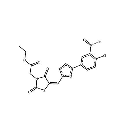 CCOC(=O)CN1C(=O)SC(=Cc2ccc(-c3ccc(Cl)c([N+](=O)[O-])c3)o2)C1=O